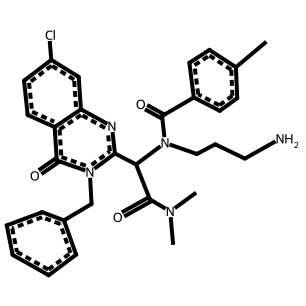 Cc1ccc(C(=O)N(CCCN)C(C(=O)N(C)C)c2nc3cc(Cl)ccc3c(=O)n2Cc2ccccc2)cc1